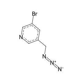 [N-]=[N+]=NCc1cncc(Br)c1